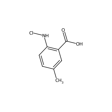 Cc1ccc(NCl)c(C(=O)O)c1